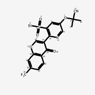 CCS(=O)(=O)c1cc(OC(C)(C)C#N)cnc1-c1coc2cc(C(F)(F)F)ccc2c1=O